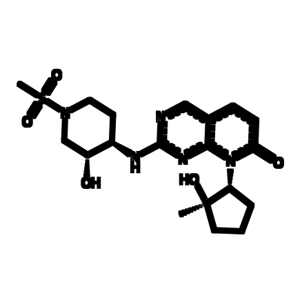 C[C@@]1(O)CCC[C@H]1n1c(=O)ccc2cnc(N[C@@H]3CCN(S(C)(=O)=O)C[C@H]3O)nc21